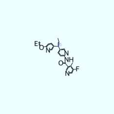 C/C=C(/c1ccc(NC(=O)c2cncc(F)c2C)nc1)c1ccc(OCC)nc1